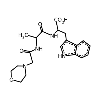 CC(NC(=O)CN1CCOCC1)C(=O)NC(Cc1c[nH]c2ccccc12)C(=O)O